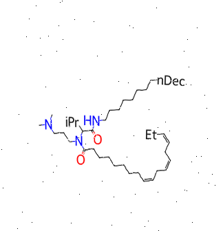 CC/C=C\C/C=C\C/C=C\CCCCCCCC(=O)N(CCCN(C)C)C(C(=O)NCCCCCCCCCCCCCCCCCC)C(C)C